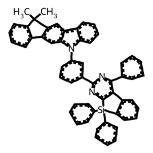 CC1(C)c2ccccc2-c2cc3c(cc21)c1ccccc1n3-c1cccc(-c2nc(-c3ccccc3)c3c(n2)[Si](c2ccccc2)(c2ccccc2)c2ccccc2-3)c1